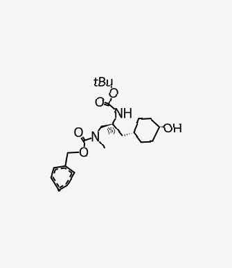 CN(C[C@H](C[C@H]1CC[C@@H](O)CC1)NC(=O)OC(C)(C)C)C(=O)OCc1ccccc1